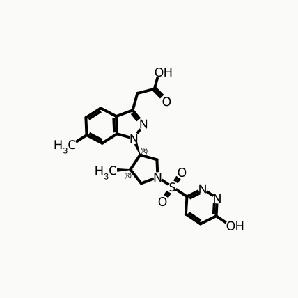 Cc1ccc2c(CC(=O)O)nn([C@H]3CN(S(=O)(=O)c4ccc(O)nn4)C[C@H]3C)c2c1